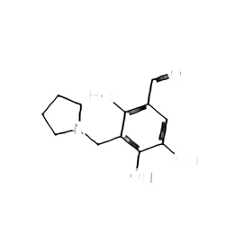 O=Cc1cc(O)c(O)c(CN2CCCC2)c1O